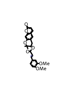 COc1ccc(/C=C/C(=O)O[C@H]2Cc3cc4ccc(=O)oc4cc3OC2(C)C)cc1OC